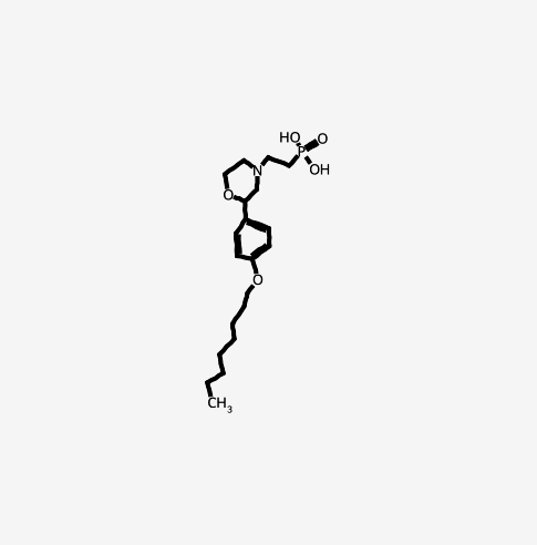 CCCCCCCCOc1ccc(C2CN(CCP(=O)(O)O)CCO2)cc1